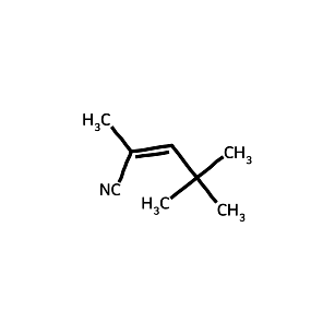 C/C(C#N)=C/C(C)(C)C